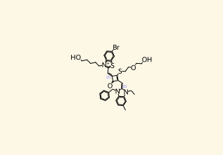 CCN1/C(=C/C2=C(SCCOCCO)C(=C\c3sc4cc(Br)ccc4[n+]3CCCCCO)/C2=O)N(Cc2ccccc2)c2ccc(C)cc21